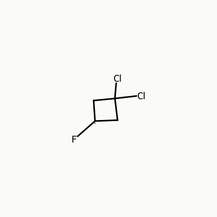 F[C]1CC(Cl)(Cl)C1